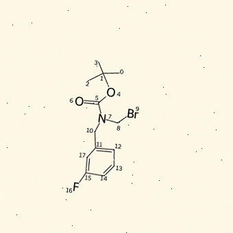 CC(C)(C)OC(=O)N(CBr)Cc1cccc(F)c1